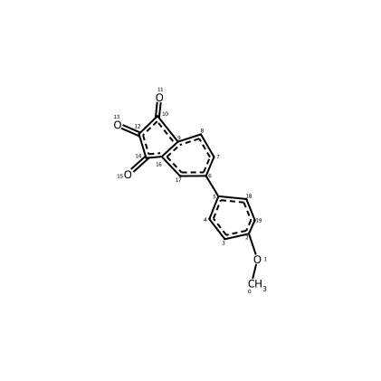 COc1ccc(-c2ccc3c(=O)c(=O)c(=O)c3c2)cc1